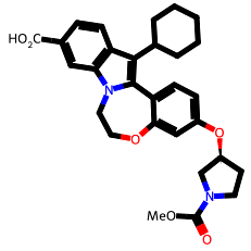 COC(=O)N1CC[C@H](Oc2ccc3c(c2)OCCn2c-3c(C3CCCCC3)c3ccc(C(=O)O)cc32)C1